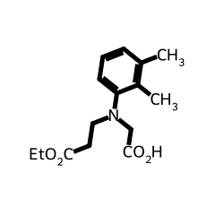 CCOC(=O)CCN(CC(=O)O)c1cccc(C)c1C